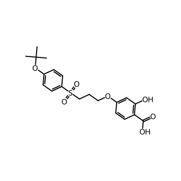 CC(C)(C)Oc1ccc(S(=O)(=O)CCCOc2ccc(C(=O)O)c(O)c2)cc1